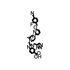 C[C@H]1CN(c2cccc(OCc3ccc(C#N)cc3F)n2)CCN1Cc1nc2ccc(C(=O)O)cc2n1Cc1cnnn1C